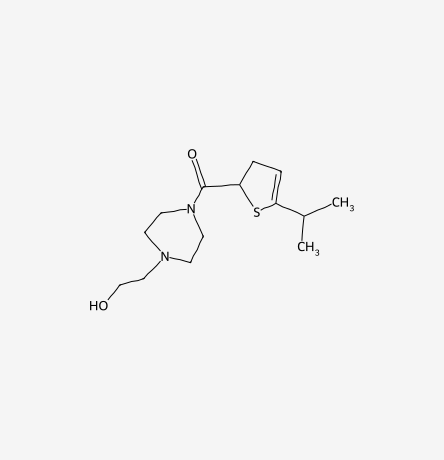 CC(C)C1=CCC(C(=O)N2CCN(CCO)CC2)S1